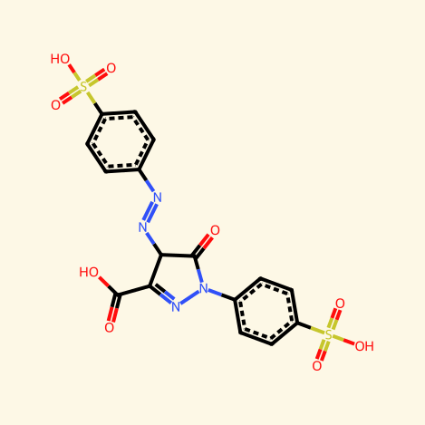 O=C(O)C1=NN(c2ccc(S(=O)(=O)O)cc2)C(=O)C1N=Nc1ccc(S(=O)(=O)O)cc1